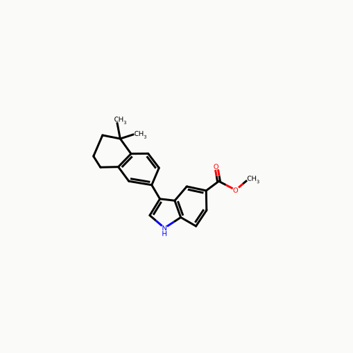 COC(=O)c1ccc2[nH]cc(-c3ccc4c(c3)CCCC4(C)C)c2c1